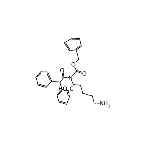 NCCCCC(C(=O)O)N(C(=O)OCc1ccccc1)C(=O)C(c1ccccc1)c1ccccc1